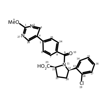 COc1ncc(-c2ccc(C(=O)N3[C@@H](c4ccccc4Cl)CC[C@H]3C(=O)O)cc2)cn1